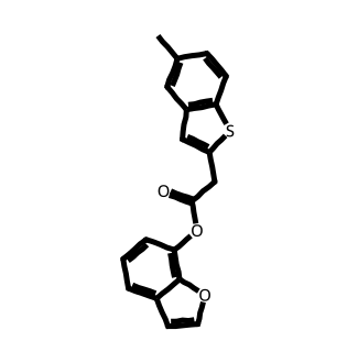 Cc1ccc2sc(CC(=O)Oc3cccc4ccoc34)cc2c1